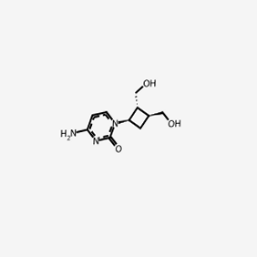 Nc1ccn([C@@H]2C[C@H](CO)[C@H]2CO)c(=O)n1